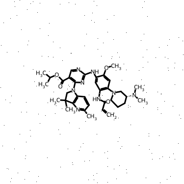 C=CC(=O)Nc1cc(Nc2ncc(C(=O)OC(C)C)c(N3CC(C)(C)c4nc(C)ccc43)n2)c(OC)cc1N1CCC[C@@H](N(C)C)C1